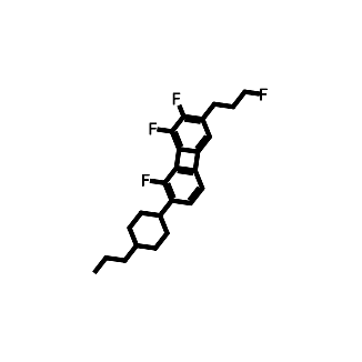 CCCC1CCC(c2ccc3c(c2F)-c2c-3cc(CCCF)c(F)c2F)CC1